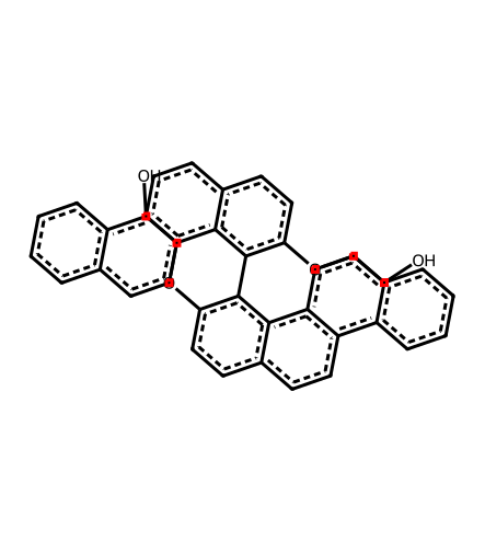 OCCOc1ccc2ccc3c4ccccc4ccc3c2c1-c1c(OCCO)ccc2ccc3c4ccccc4ccc3c12